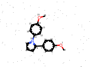 COc1ccc(-c2cccn2-c2ccc(OC)cc2)cc1